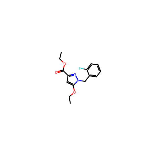 CCOC(=O)c1cc(OCC)n(Cc2ccccc2F)n1